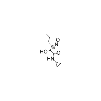 CCC[C@H](N=O)C(O)C(=O)NC1CC1